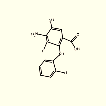 Nc1c(S)cc(C(=O)O)c(Nc2ccccc2Cl)c1F